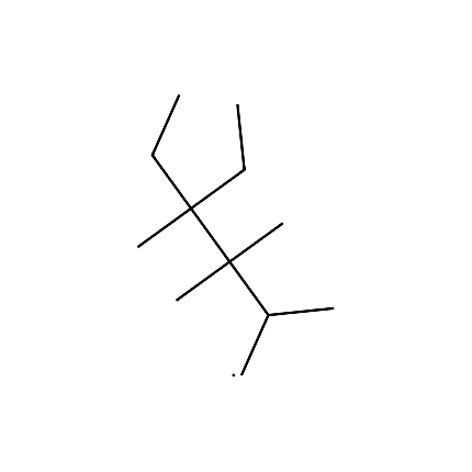 [CH2]C(C)C(C)(C)C(C)(CC)CC